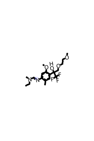 CCN(C)/C=N/c1cc(OC)c(C(O)(COCCOC)C(F)(F)F)cc1C